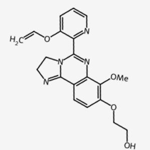 C=COc1cccnc1C1=Nc2c(ccc(OCCO)c2OC)C2=NCCN21